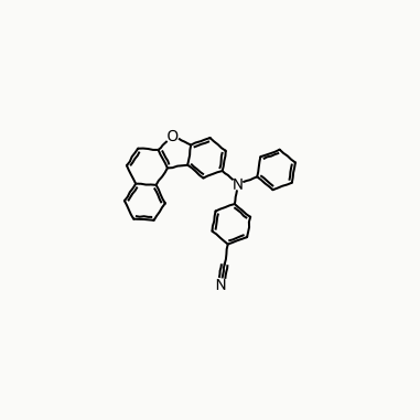 N#Cc1ccc(N(c2ccccc2)c2ccc3oc4ccc5ccccc5c4c3c2)cc1